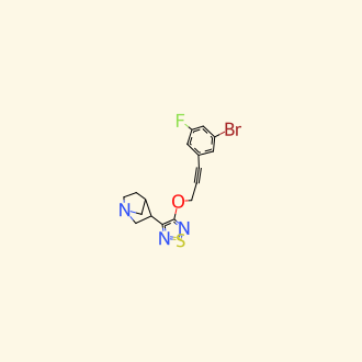 Fc1cc(Br)cc(C#CCOc2nsnc2C2CN3CCC2C3)c1